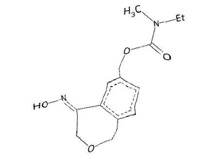 CCN(C)C(=O)Oc1ccc2c(c1)C(=NO)COC2